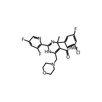 COC(=O)C1=C(CN2CCOCC2)NC(c2ncc(F)cc2F)=NC1(C)c1cc(F)cc(Cl)c1